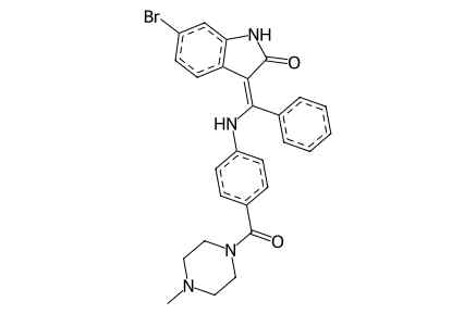 CN1CCN(C(=O)c2ccc(NC(=C3C(=O)Nc4cc(Br)ccc43)c3ccccc3)cc2)CC1